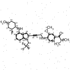 COc1cc(C(=O)N(C)C)ncc1NCC#Cc1cc2c(N[C@@H]3CCN(C)C[C@@H]3F)cccc2n1CC(F)(F)F